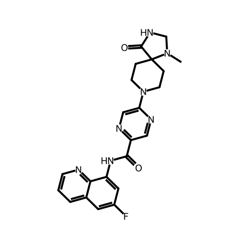 CN1CNC(=O)C12CCN(c1cnc(C(=O)Nc3cc(F)cc4cccnc34)cn1)CC2